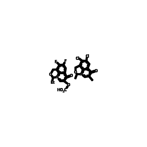 CCC1OCc2c(F)c(F)cc3c(=O)c(OC(=O)O)cn1c23.Cc1cn2c3c(c(Cl)c(Cl)cc3c1=O)COC2C